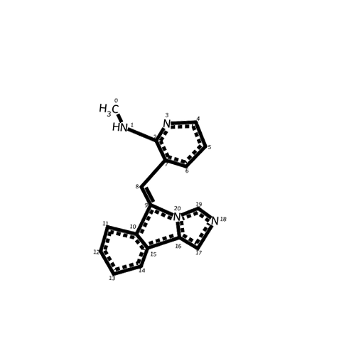 CNc1ncccc1C=c1c2ccccc2c2cncn12